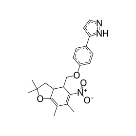 CC1=C2OC(C)(C)CC2C(COc2ccc(-c3ccn[nH]3)cc2)C([N+](=O)[O-])=C1C